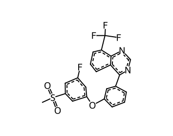 CS(=O)(=O)c1cc(F)cc(Oc2cccc(-c3ncnc4c(C(F)(F)F)cccc34)c2)c1